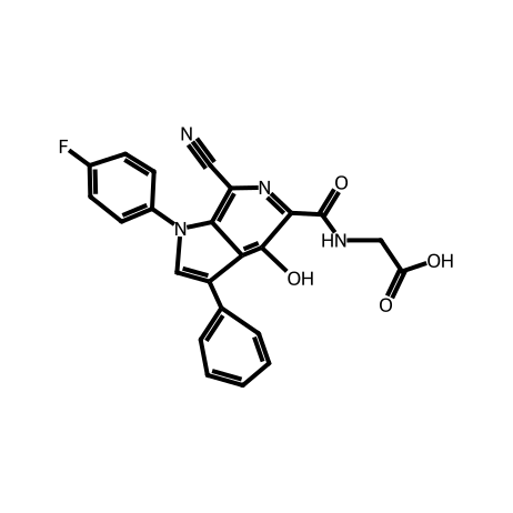 N#Cc1nc(C(=O)NCC(=O)O)c(O)c2c(-c3ccccc3)cn(-c3ccc(F)cc3)c12